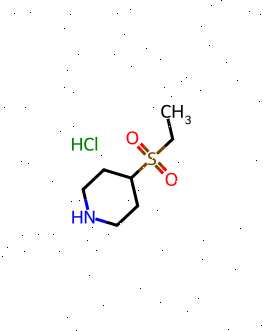 CCS(=O)(=O)C1CCNCC1.Cl